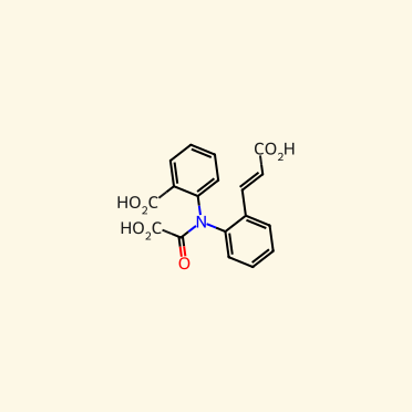 O=C(O)C=Cc1ccccc1N(C(=O)C(=O)O)c1ccccc1C(=O)O